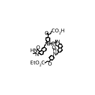 CCOC(=O)CCC(=O)c1ccc(NCc2ccc3ccc4nc(C)[nH]c(=O)c4c3c2)cc1.Cc1nc2ccc3ccc(CNc4ccc(C(=O)CCC(=O)O)cc4)cc3c2c(=O)[nH]1